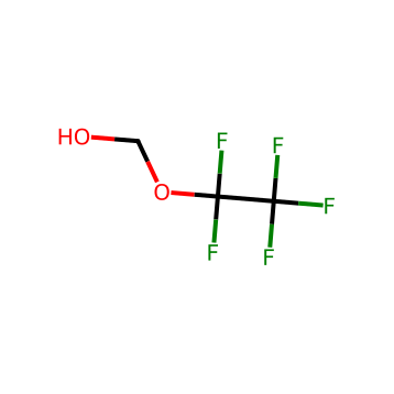 OCOC(F)(F)C(F)(F)F